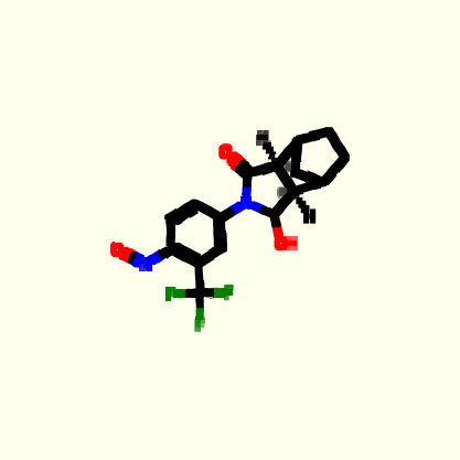 O=Nc1ccc(N2C(=O)[C@H]3C4CCC(C4)[C@H]3C2O)cc1C(F)(F)F